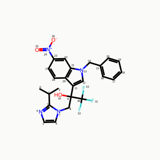 CC(C)c1nccn1CC(O)(c1cn(Cc2ccccc2)c2cc([N+](=O)[O-])ccc12)C(F)(F)F